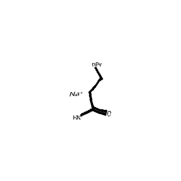 CCCCCC([NH-])=O.[Na+]